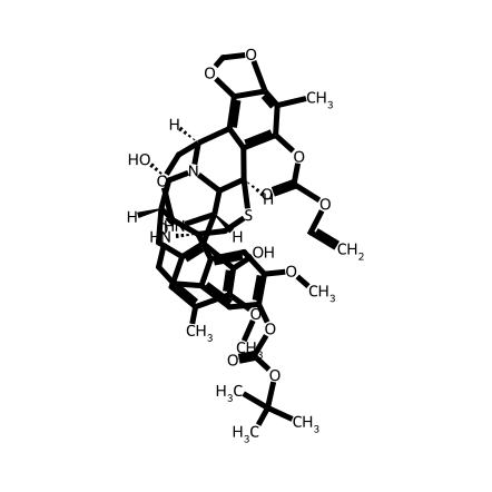 C=COC(=O)Oc1c(C)c2c(c3c1[C@H]1SC[C@]4(NCCc5cc(OC(=O)OC(C)(C)C)c(OC)cc54)C(=O)OC[C@@H]3N3C1[C@H]1N[C@H](Cc4cc(C)c(OC)c(O)c41)[C@@H]3O)OCO2